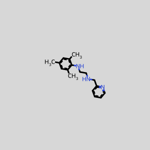 Cc1cc(C)c(NCCNCc2ccccn2)c(C)c1